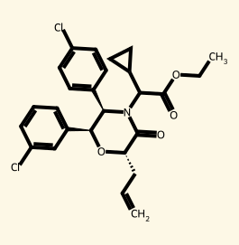 C=CC[C@@H]1O[C@@H](c2cccc(Cl)c2)[C@@H](c2ccc(Cl)cc2)N(C(C(=O)OCC)C2CC2)C1=O